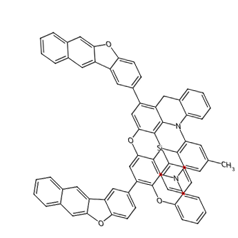 Cc1cc2c3c(c1)N1c4ccccc4Oc4c(-c5ccc6oc7cc8ccccc8cc7c6c5)cc5c(c41)[Si]3(c1ccccc1)c1c(cc(-c3ccc4oc6cc7ccccc7cc6c4c3)c3c1N2c1ccccc1C3)O5